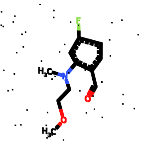 COCCN(C)c1cc(F)ccc1C=O